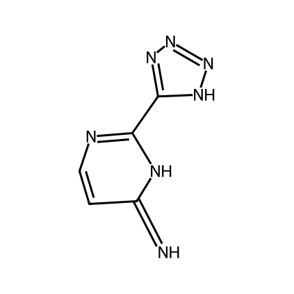 N=c1ccnc(-c2nnn[nH]2)[nH]1